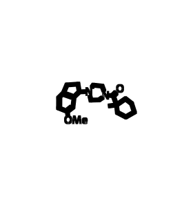 COc1ccc2c(c1)C(N1CCN(C(=O)C3(C)CCCCC3)CC1)CC2